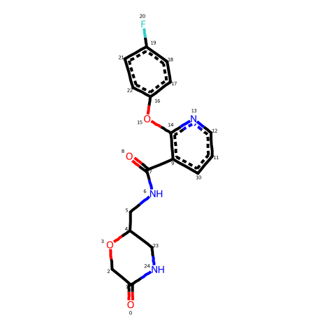 O=C1COC(CNC(=O)c2cccnc2Oc2ccc(F)cc2)CN1